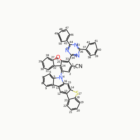 N#Cc1cc(-n2c3ccccc3c3cc4c(cc32)sc2ccccc24)c2c(oc3ccccc32)c1-c1nc(-c2ccccc2)nc(-c2ccccc2)n1